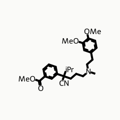 COC(=O)c1cccc(C(C#N)(CCCN(C)CCc2ccc(OC)c(OC)c2)C(C)C)c1